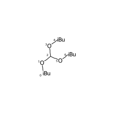 CCC(C)OC(OC(C)CC)OC(C)CC